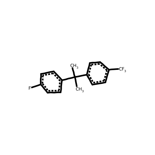 CC(C)(c1ccc(F)cc1)c1ccc(C(F)(F)F)cc1